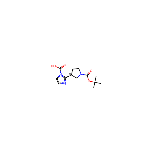 CC(C)(C)OC(=O)N1CC[C@H](c2nccn2C(=O)O)C1